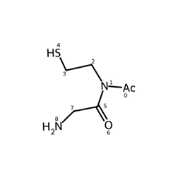 CC(=O)N(CCS)C(=O)CN